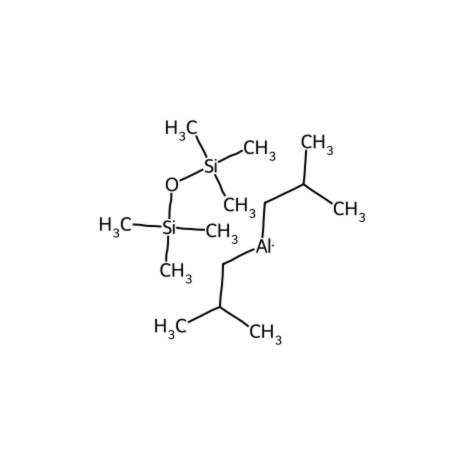 CC(C)[CH2][Al][CH2]C(C)C.C[Si](C)(C)O[Si](C)(C)C